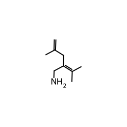 C=C(C)CC(CN)=C(C)C